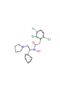 O=C(Cc1c(Cl)ccc(Cl)c1Cl)N(O)C(CN1CCCC1)c1ccccc1